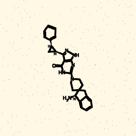 N[C@@H]1c2ccccc2CC12CCN(c1nc3[nH]nc([C@H]4C[C@@H]4c4ccccc4)c3c(=O)[nH]1)CC2